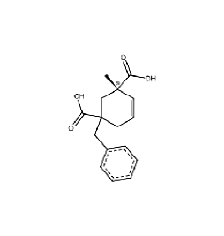 C[C@@]1(C(=O)O)C=CCC(Cc2ccccc2)(C(=O)O)C1